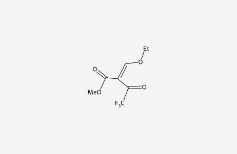 CCOC=C(C(=O)OC)C(=O)C(F)(F)F